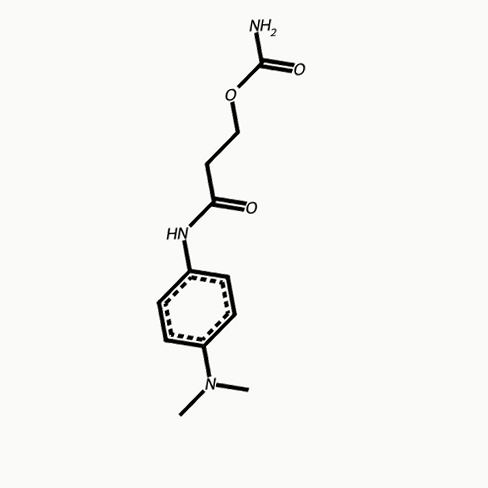 CN(C)c1ccc(NC(=O)CCOC(N)=O)cc1